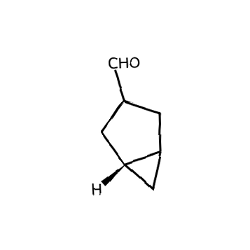 O=CC1CC2C[C@@H]2C1